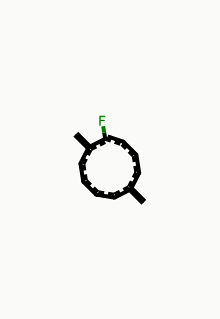 C=c1ccccc(=C)c(F)ccc1